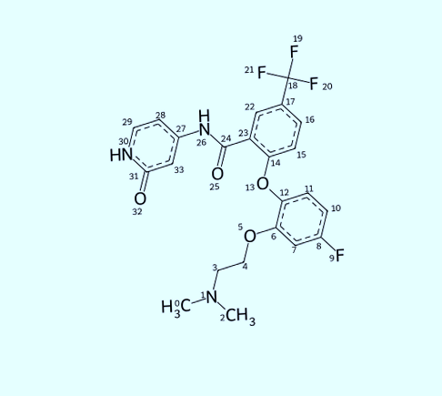 CN(C)CCOc1cc(F)ccc1Oc1ccc(C(F)(F)F)cc1C(=O)Nc1cc[nH]c(=O)c1